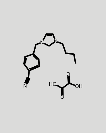 CCCCN1C=CN(Cc2ccc(C#N)cc2)C1.O=C(O)C(=O)O